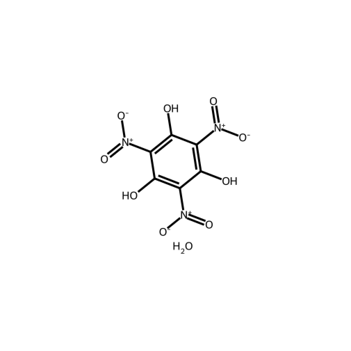 O.O=[N+]([O-])c1c(O)c([N+](=O)[O-])c(O)c([N+](=O)[O-])c1O